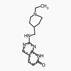 CCN1CCC(CNc2ncc3ccc(=O)[nH]c3n2)CC1